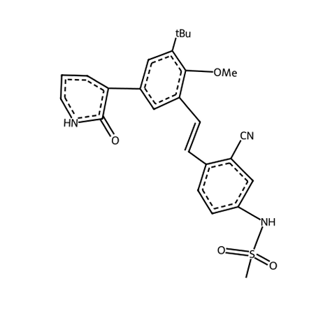 COc1c(/C=C/c2ccc(NS(C)(=O)=O)cc2C#N)cc(-c2ccc[nH]c2=O)cc1C(C)(C)C